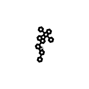 c1ccc(-c2ccc3sc4c(-c5ccc6c7c(cccc57)-c5c-6c(-c6ccccc6)c6ccccc6c5-c5ccccc5)cccc4c3c2)cc1